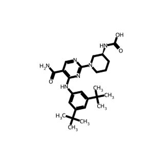 CC(C)(C)c1cc(Nc2nc(N3CCC[C@H](NC(=O)O)C3)ncc2C(N)=O)cc(C(C)(C)C)c1